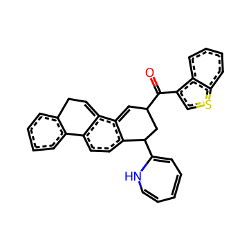 O=C(c1csc2ccccc12)C1C=c2c(ccc3c2=CCc2ccccc2-3)C(C2=CC=CC=CN2)C1